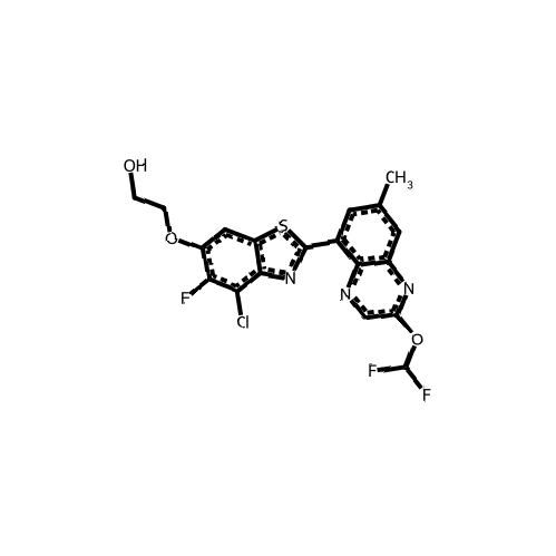 Cc1cc(-c2nc3c(Cl)c(F)c(OCCO)cc3s2)c2ncc(OC(F)F)nc2c1